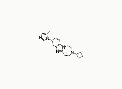 Cc1cncn1-c1ccc2c(c1)nc1n2CCN(C2CCC2)CC1